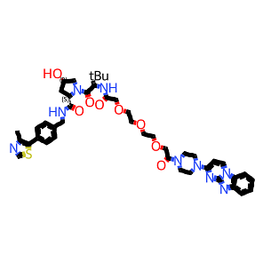 Cc1ncsc1-c1ccc(CNC(=O)[C@@H]2C[C@@H](O)CN2C(=O)C(NC(=O)COCCOCCOCC(=O)N2CCN(c3ccn4c(n3)nc3ccccc34)CC2)C(C)(C)C)cc1